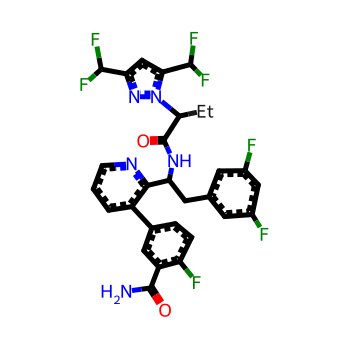 CCC(C(=O)NC(Cc1cc(F)cc(F)c1)c1ncccc1-c1ccc(F)c(C(N)=O)c1)n1nc(C(F)F)cc1C(F)F